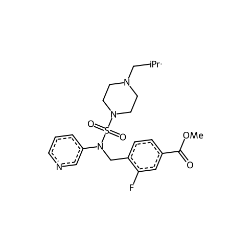 COC(=O)c1ccc(CN(c2cccnc2)S(=O)(=O)N2CCN(C[C](C)C)CC2)c(F)c1